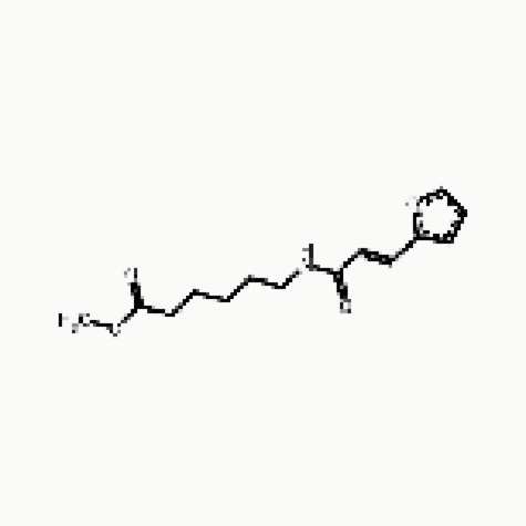 COC(=O)CCCCCNC(=O)/C=C/c1ccco1